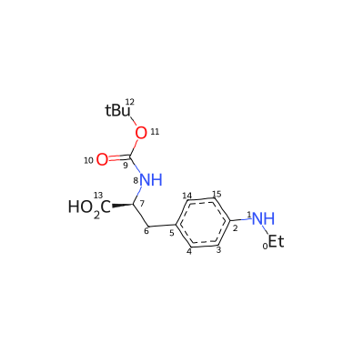 CCNc1ccc(C[C@H](NC(=O)OC(C)(C)C)C(=O)O)cc1